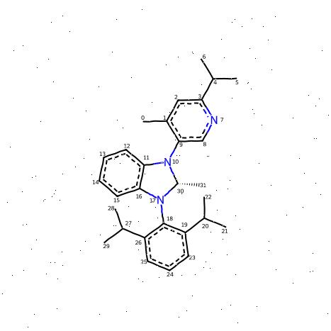 Cc1cc(C(C)C)ncc1N1c2ccccc2N(c2c(C(C)C)cccc2C(C)C)[C@H]1C